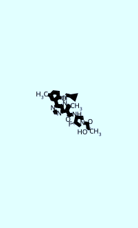 Cc1ccc(OCC2CC2)c(-c2ncnc3c(C(=O)N[C@@H]4CN(C(=O)[C@H](C)O)C[C@@H]4F)c(C)[nH]c23)c1